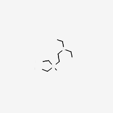 CCN(CC)CC[N+](C)(CC)CC